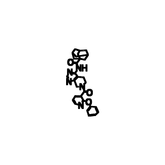 O=C(c1cccnc1Oc1ccccc1)N1CCc2c(ncnc2NC(=O)C23CC4CC(CC(C4)C2)C3)C1